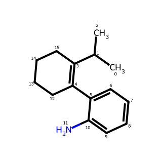 CC(C)C1=C(c2ccccc2N)CCCC1